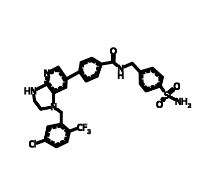 NS(=O)(=O)c1ccc(CNC(=O)c2ccc(-c3cnc4c(c3)N(Cc3cc(Cl)ccc3C(F)(F)F)CCN4)cc2)cc1